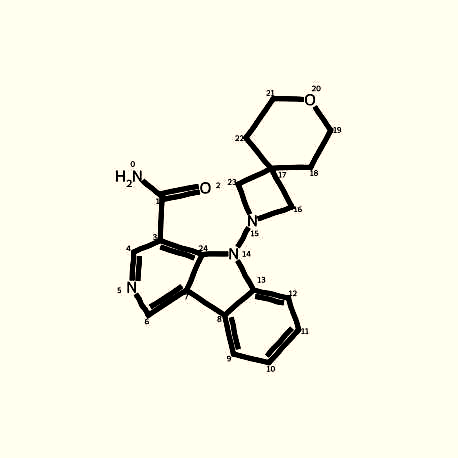 NC(=O)c1cncc2c3ccccc3n(N3CC4(CCOCC4)C3)c12